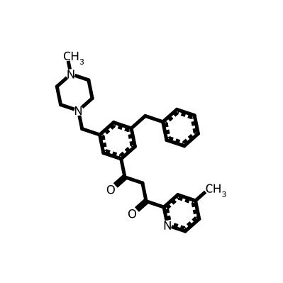 Cc1ccnc(C(=O)CC(=O)c2cc(Cc3ccccc3)cc(CN3CCN(C)CC3)c2)c1